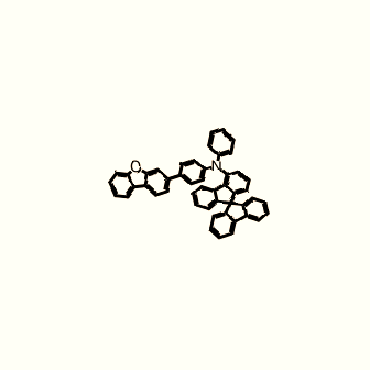 c1ccc(N(c2ccc(-c3ccc4c(c3)oc3ccccc34)cc2)c2cccc3c2-c2ccccc2C32c3ccccc3-c3ccccc32)cc1